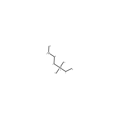 CC[N+](C)(C)CCOC